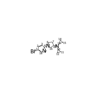 Brc1ccc(N2CCC(N(C3CC3)C3CC3)C2)nc1